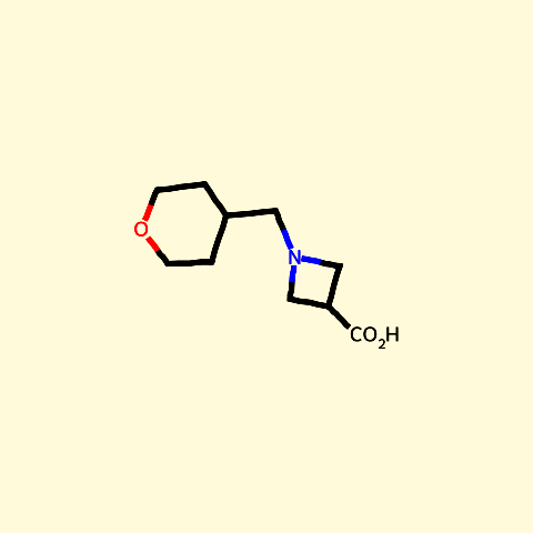 O=C(O)C1CN(CC2CCOCC2)C1